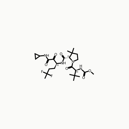 COC(=O)N[C@H](C(=O)N1CCC(C)(C)[C@H]1C(=O)N[C@@H](CCC(C)(F)F)C(=O)C(=O)NC1CC1)C(C)(C)C